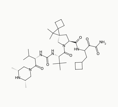 CC(C)[C@H](NC(=O)N[C@H](C(=O)N1C[C@]2(C[C@H]1C(=O)NC(CC1CCC1)C(=O)C(N)=O)C(C)(C)C21CCC1)C(C)(C)C)C(=O)N1C[C@@H](C)N[C@@H](C)C1